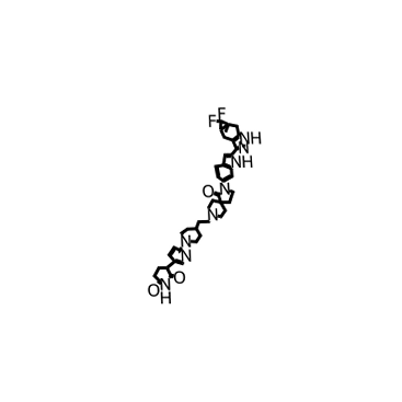 CC12Cc3[nH]nc(-c4cc5ccc(N6CCC7(CCN(CCC8CCN(c9ccc(C%10CCC(=O)NC%10=O)cn9)CC8)CC7)C6=O)cc5[nH]4)c3CC1C2(F)F